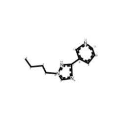 [CH2]CCCn1cnc(-c2cccnc2)n1